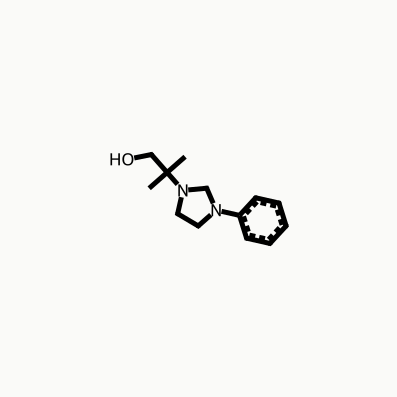 CC(C)(CO)N1CCN(c2ccccc2)C1